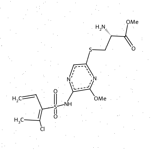 C=C/C(=C(\C)Cl)S(=O)(=O)Nc1ncc(SC[C@H](N)C(=O)OC)nc1OC